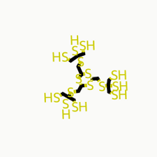 SCC(S)(CS)SCC1SC(CSC(S)(CS)CS)SC(CSC(S)(CS)CS)S1